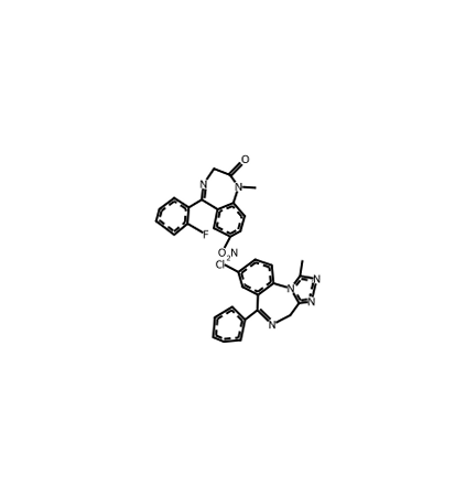 CN1C(=O)CN=C(c2ccccc2F)c2cc([N+](=O)[O-])ccc21.Cc1nnc2n1-c1ccc(Cl)cc1C(c1ccccc1)=NC2